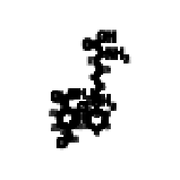 NC1CCCCC1.NCCCC[C@H](N)C(=O)O.O=Cc1ccc([N+](=O)[O-])c(O)c1